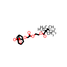 CC(C)(C)C(C)(C)C(=O)OCCOC(=O)COC12CC3CC(C1)OC(=O)C(C3)C2